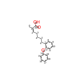 CC(=CCCCCc1ccccc1Oc1ccccc1)C(=O)O